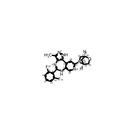 Cc1n[nH]c2c1N=C(c1c(F)cccc1F)Nc1cnc(N3C[C@@H]4C[C@H]3CO4)cc1-2